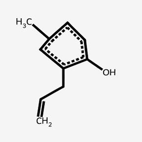 C=CCc1cc(C)ccc1O